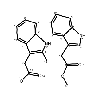 COC(=O)Cc1c[nH]c2ccccc12.Cc1[nH]c2ccccc2c1CC(=O)O